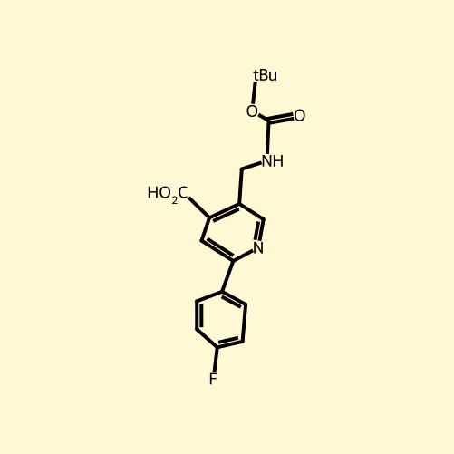 CC(C)(C)OC(=O)NCc1cnc(-c2ccc(F)cc2)cc1C(=O)O